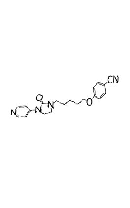 N#Cc1ccc(OCCCCCN2CCN(c3ccncc3)C2=O)cc1